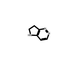 [c]1cc2c(nn1)CCN2